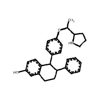 CC(Oc1ccc(C2c3ccc(O)cc3CCC2c2ccccc2)cc1)C1CCCN1